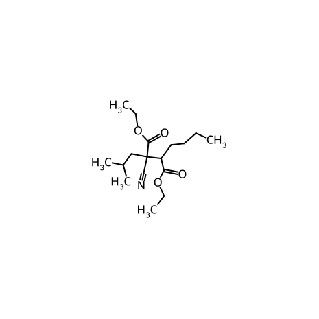 CCCCC(C(=O)OCC)C(C#N)(CC(C)C)C(=O)OCC